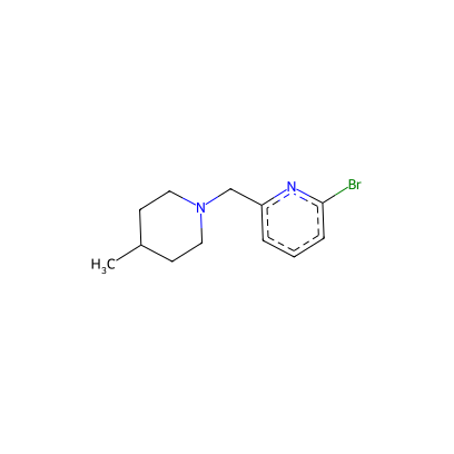 CC1CCN(Cc2cccc(Br)n2)CC1